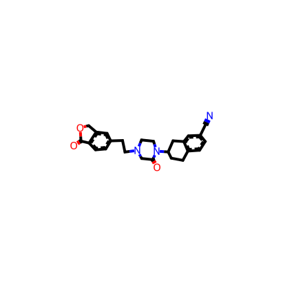 N#Cc1ccc2c(c1)CC(N1CCN(CCc3ccc4c(c3)COC4=O)CC1=O)CC2